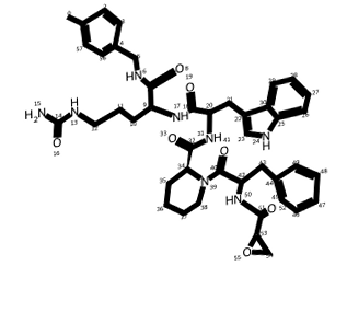 Cc1ccc(CNC(=O)C(CCCNC(N)=O)NC(=O)C(Cc2c[nH]c3ccccc23)NC(=O)[C@@H]2CCCCN2C(=O)C(Cc2ccccc2)NC(=O)C2CO2)cc1